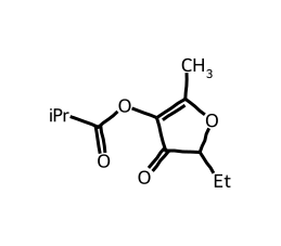 CCC1OC(C)=C(OC(=O)C(C)C)C1=O